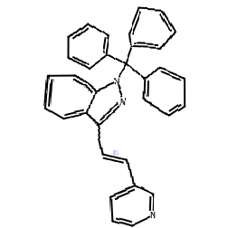 C(=C\c1nn(C(c2ccccc2)(c2ccccc2)c2ccccc2)c2ccccc12)/c1cccnc1